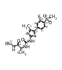 Cc1nc(NC(=O)NC(C)C(=O)NC(C)(C)C)sc1-c1ccc(S(C)(=O)=O)c(F)c1